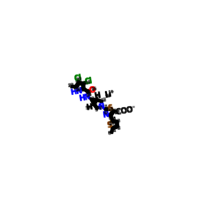 Cc1ccc(-c2nc(N3C[C@@H]4[C@H](C3)[C@@H]4NC(=O)c3[nH]c(C)c(Cl)c3Cl)sc2C(=O)[O-])s1.[Li+]